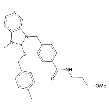 COCCCNC(=O)c1ccc(CN2c3cnccc3N(C)C2SCc2ccc(C)cc2)cc1